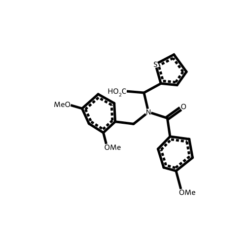 COc1ccc(C(=O)N(Cc2ccc(OC)cc2OC)C(C(=O)O)c2cccs2)cc1